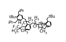 CC(C)Cc1cc(CC(C)(C)c2c(CC(C)(C)C(F)(F)F)cccc2CC(C)(CCC(C)(C)Cc2cccc(CC(C)(C)C)c2C(C)(C)C)C(F)(F)F)cc(CC(C)C)c1C(C)(C)C